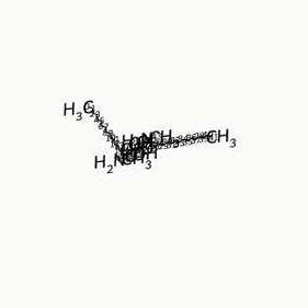 CCCCCCCCCCCCCCC[C@H](OC(=O)C(O)C(O)C(=O)O[C@@H](CCCCCCCCCCCCCCC)[C@@H](C)N)[C@@H](C)N